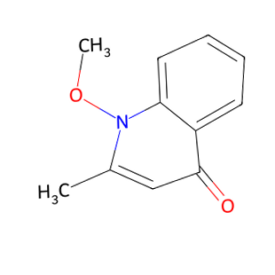 COn1c(C)cc(=O)c2ccccc21